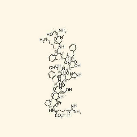 CC(C)[C@H](NC(=O)[C@@H](NC(=O)[C@H](Cc1ccc(O)cc1)NC(=O)[C@H](Cc1c[nH]cn1)NC(=O)[C@H](CO)N(C)C(=O)[C@H](CO)NC(=O)[C@H](Cc1ccccc1)N(C)C(=O)[C@H](Cc1ccccc1)N(C)C(=O)[C@H](CCCCN)NC(=O)CN(C)C(=O)[C@@H](N)[C@@H](C)O)[C@@H](C)O)C(=O)N1CCC[C@H]1C(=O)N[C@@H](CCCNC(=N)N)C(=O)O